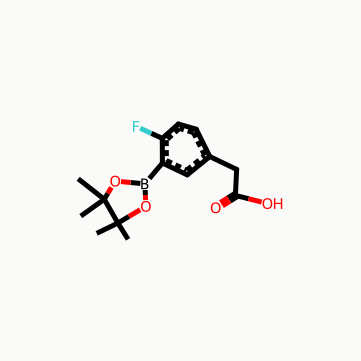 CC1(C)OB(c2cc(CC(=O)O)ccc2F)OC1(C)C